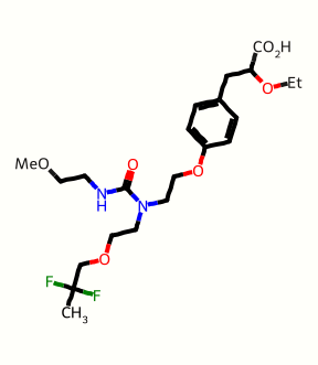 CCOC(Cc1ccc(OCCN(CCOCC(C)(F)F)C(=O)NCCOC)cc1)C(=O)O